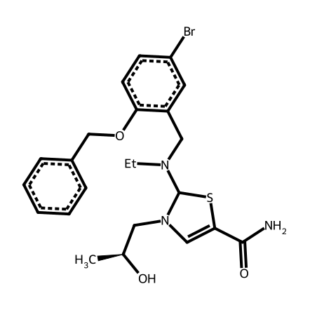 CCN(Cc1cc(Br)ccc1OCc1ccccc1)C1SC(C(N)=O)=CN1C[C@H](C)O